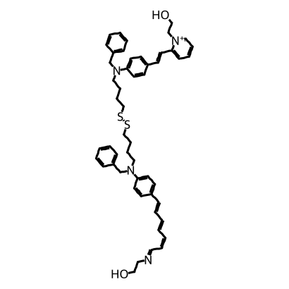 OCC/N=C/C=C\C=C\C=C\c1ccc(N(CCCCSSCCCCN(Cc2ccccc2)c2ccc(/C=C/c3cccc[n+]3CCO)cc2)Cc2ccccc2)cc1